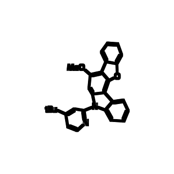 COc1cc2c(c3ccccc3n2-c2cc(C(C)(C)C)ccn2)c2oc3ccccc3c12